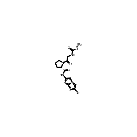 CC(C)(C)OC(=O)NCC(=O)N1CCC[C@H]1C(=O)Nc1cn2cc(Br)sc2n1